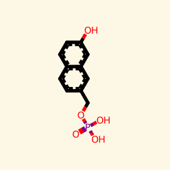 O=P(O)(O)OCc1ccc2ccc(O)cc2c1